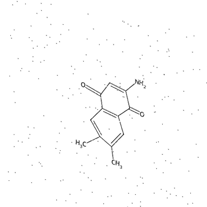 Cc1cc2c(cc1C)C(=O)C(N)=CC2=O